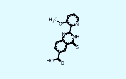 COc1cccnc1-c1nc2ccc(C(=O)O)cc2c(=S)[nH]1